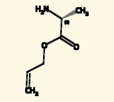 C=CCOC(=O)[C@@H](C)N